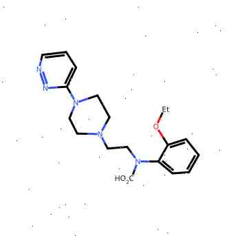 CCOc1ccccc1N(CCN1CCN(c2cccnn2)CC1)C(=O)O